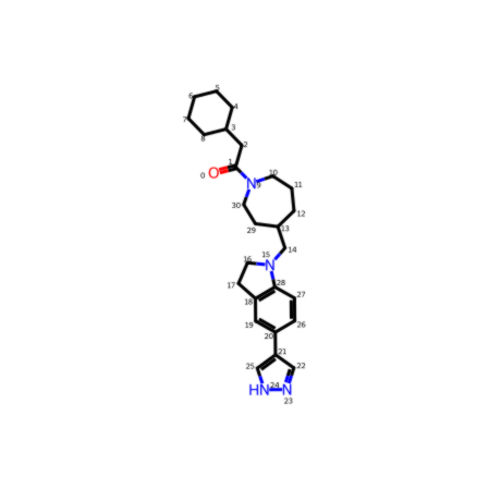 O=C(CC1CCCCC1)N1CCCC(CN2CCc3cc(-c4cn[nH]c4)ccc32)CC1